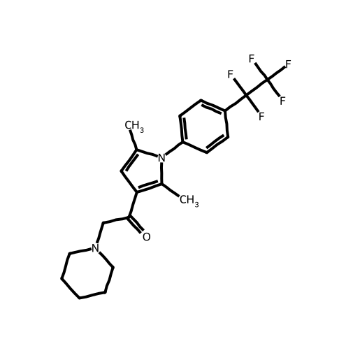 Cc1cc(C(=O)CN2CCCCC2)c(C)n1-c1ccc(C(F)(F)C(F)(F)F)cc1